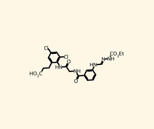 CCOC(=O)NN=CNc1cccc(C(=O)NCC(=O)Nc2c(Cl)cc(Cl)cc2CCC(=O)O)c1